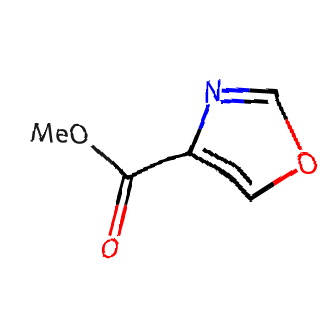 [CH2]OC(=O)c1cocn1